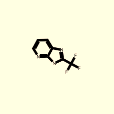 FC(F)(F)C1=Nc2cccnc2[N]1